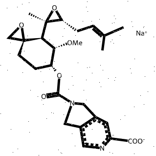 CO[C@@H]1[C@H](OC(=O)N2Cc3cnc(C(=O)[O-])cc3C2)CC[C@]2(CO2)[C@H]1[C@@]1(C)O[C@@H]1CC=C(C)C.[Na+]